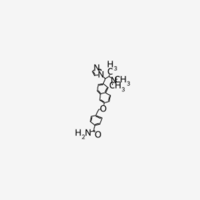 CC(C(c1ccc2cc(OCc3ccc(C(N)=O)cc3)ccc2c1)n1ccnc1)N(C)C